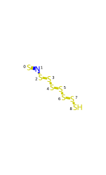 S=NSSSSSSS